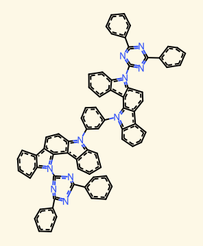 c1ccc(-c2nc(-c3ccccc3)nc(-n3c4ccccc4c4c3ccc3c5ccccc5n(-c5cccc(-n6c7ccccc7c7c6ccc6c8ccccc8n(-c8nc(-c9ccccc9)nc(-c9ccccc9)n8)c67)c5)c34)n2)cc1